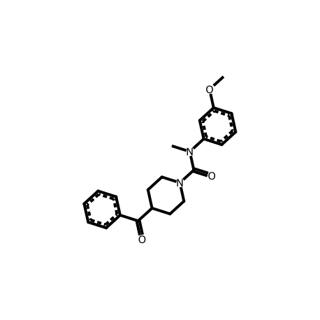 COc1cccc(N(C)C(=O)N2CCC(C(=O)c3ccccc3)CC2)c1